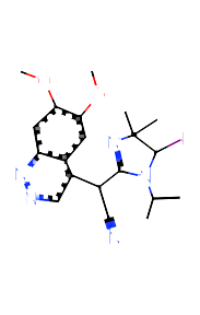 COc1cc2nncc(C(C#N)C3=NC(C)(C)C(I)N3C(C)C)c2cc1OC